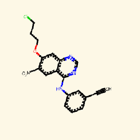 C#Cc1cccc(Nc2ncnc3cc(OCCCCl)c([N+](=O)[O-])cc23)c1